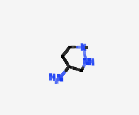 NC1CC[N]NC1